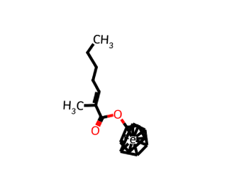 CCCCC=C(C)C(=O)O[C]12[CH]3[CH]4[CH]5[CH]1[Fe]45321678[CH]2[CH]1[CH]6[CH]7[CH]28